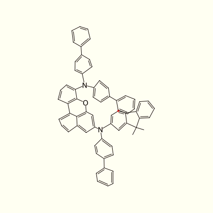 CC1(C)c2ccccc2-c2ccc(N(c3ccc(-c4ccccc4)cc3)c3cc4c5c(cccc5c3)-c3cccc(N(c5ccc(-c6ccccc6)cc5)c5ccc(-c6ccccc6)cc5)c3O4)cc21